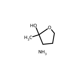 CC1(O)CCCO1.N